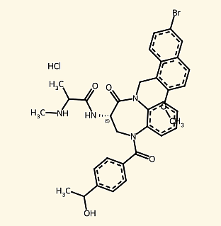 CNC(C)C(=O)N[C@H]1CN(C(=O)c2ccc(C(C)O)cc2)c2ccccc2N(Cc2c(OC)ccc3cc(Br)ccc23)C1=O.Cl